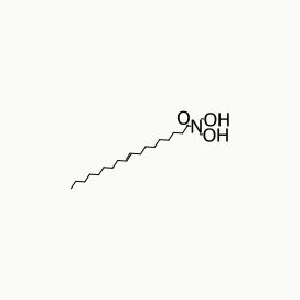 CCCCCCCCC=CCCCCCCCC(=O)N(CO)CO